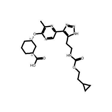 Cc1nc(-c2nn[nH]c2CCNC(=O)OCCC2CC2)cnc1O[C@H]1CCC[C@H](C(=O)O)C1